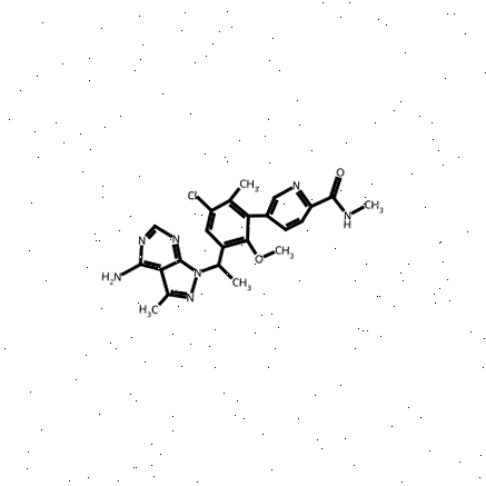 CNC(=O)c1ccc(-c2c(C)c(Cl)cc(C(C)n3nc(C)c4c(N)ncnc43)c2OC)cn1